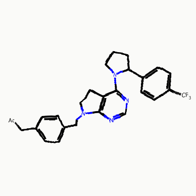 CC(=O)Cc1ccc(CN2CCc3c2ncnc3N2CCCC2c2ccc(C(F)(F)F)cc2)cc1